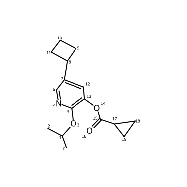 CC(C)Oc1ncc(C2CCC2)cc1OC(=O)C1CC1